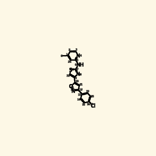 Cc1ccnc(Nc2nc(-c3cc(-c4ccc(Cl)cc4)no3)cs2)c1